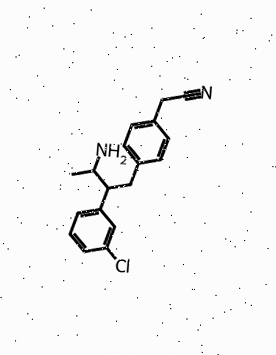 CC(N)C(Cc1ccc(CC#N)cc1)c1cccc(Cl)c1